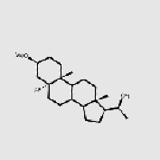 CO[C@H]1CC[C@]2(C)C3CC[C@@]4(C)C(CC[C@@H]4[C@H](C)O)C3CC[C@H]2C1